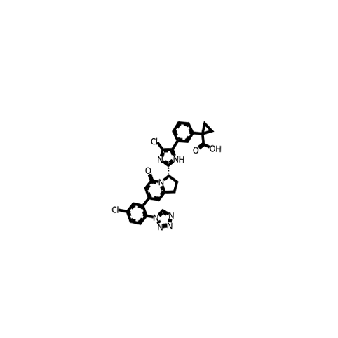 O=C(O)C1(c2cccc(-c3[nH]c([C@@H]4CCc5cc(-c6cc(Cl)ccc6-n6cnnn6)cc(=O)n54)nc3Cl)c2)CC1